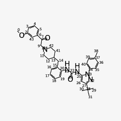 COc1cccc(C(=O)CN2CCC(Cc3ccccc3NC(=O)Nc3cc(C(C)(C)C)nn3-c3ccc(C)cc3)CC2)c1